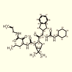 C=CCNC(=O)C(=O)C(CCC)NC(=O)[C@@H]1C2C(CN1C(=O)[C@@H](NC(=O)NC1CCCCC1)C1Cc3ccccc3C1)C2(C)C